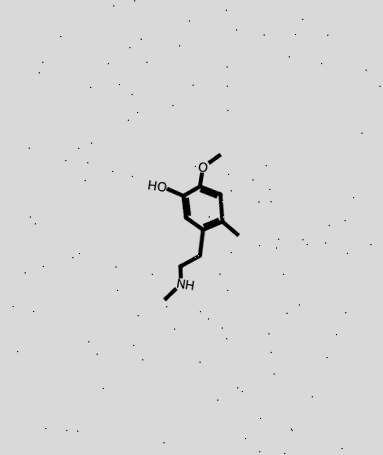 CNCCc1cc(O)c(OC)cc1C